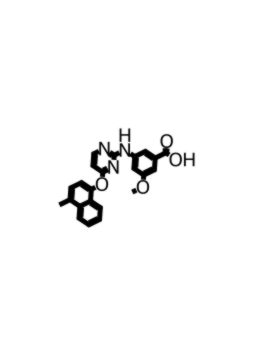 COc1cc(Nc2nccc(Oc3ccc(C)c4ccccc34)n2)cc(C(=O)O)c1